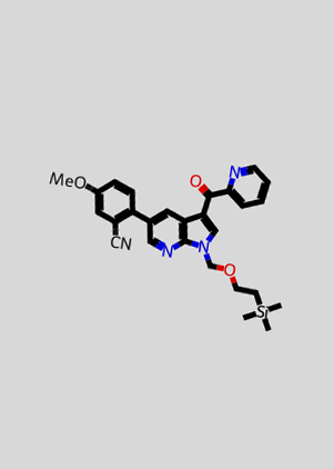 COc1ccc(-c2cnc3c(c2)c(C(=O)c2ccccn2)cn3COCC[Si](C)(C)C)c(C#N)c1